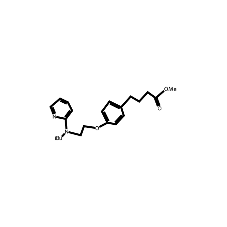 CCC(C)N(CCOc1ccc(CCCC(=O)OC)cc1)c1ccccn1